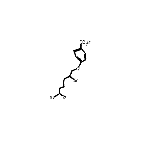 CCOC(=O)c1ccc(OCC(Br)CCCC(Br)CC)cc1